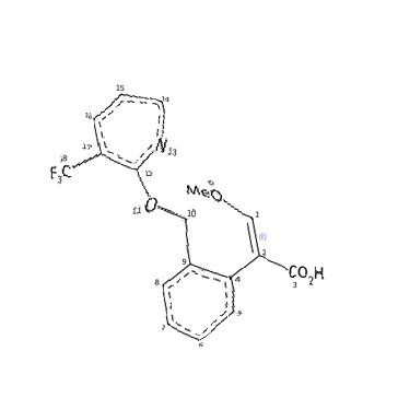 CO/C=C(/C(=O)O)c1ccccc1COc1ncccc1C(F)(F)F